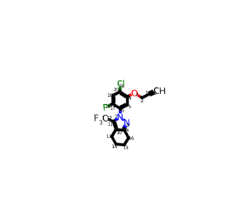 C#CCOc1cc(-n2nc3c(c2C(F)(F)F)CCCC3)c(F)cc1Cl